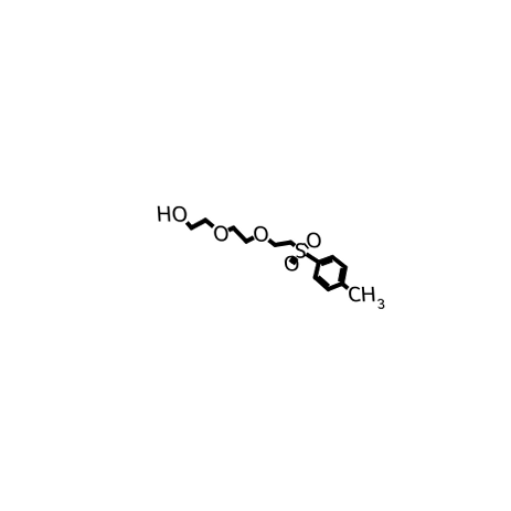 Cc1ccc(S(=O)(=O)CCOCCOCCO)cc1